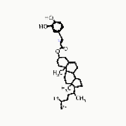 CCC(CCC(C)C1CCC2C3CC=C4CC(OC(=O)/C=C/c5ccc(O)c(O)c5)CCC4(C)C3CCC12C)C(C)C